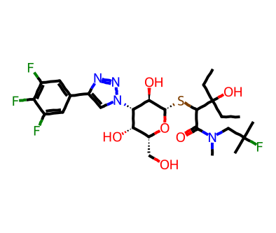 CCC(O)(CC)C(S[C@@H]1O[C@H](CO)[C@H](O)[C@H](n2cc(-c3cc(F)c(F)c(F)c3)nn2)[C@H]1O)C(=O)N(C)CC(C)(C)F